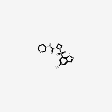 Cc1cc(S(=O)(=O)N2CC[C@H]2C(=O)N[C@H]2CCCOC2)c2[nH]ncc2c1